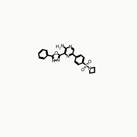 Nc1ncc(-c2ccc(S(=O)(=O)N3CCC3)cc2)nc1-c1nnc(-c2ccccc2)o1